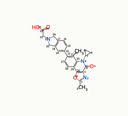 Cc1nc2c(=O)n(C3CC3)c3c(C)c(-c4ccc5c(c4)CN(CC(=O)O)C5)ccc3c2o1